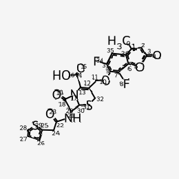 Cc1cc(=O)oc2c(F)c(OCC3=C(C(=O)O)N4C(=O)C(NC(=O)Cc5cccs5)C4SC3)c(F)cc12